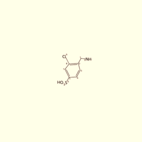 [NH]Cc1ccc(S(=O)(=O)O)cc1Cl